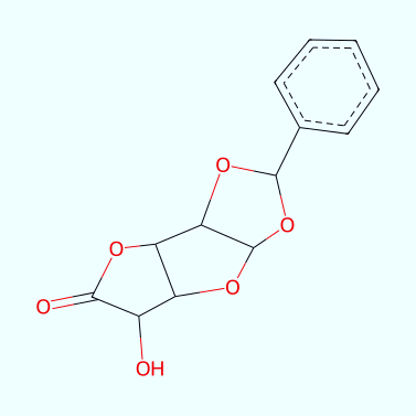 O=C1OC2C3OC(c4ccccc4)OC3OC2C1O